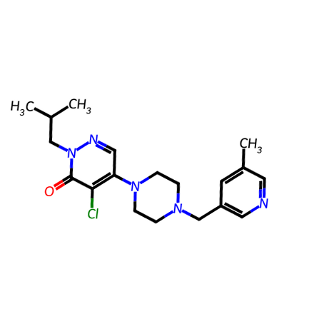 Cc1cncc(CN2CCN(c3cnn(CC(C)C)c(=O)c3Cl)CC2)c1